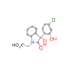 O=C(O)CN1C(=O)C(O)(c2ccc(Cl)cc2O)c2ccccc21